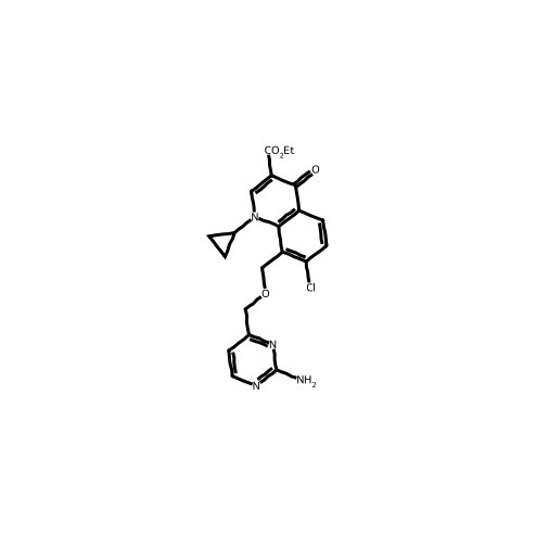 CCOC(=O)c1cn(C2CC2)c2c(COCc3ccnc(N)n3)c(Cl)ccc2c1=O